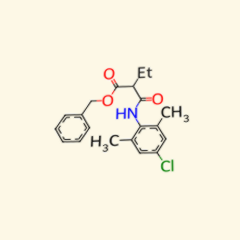 CCC(C(=O)Nc1c(C)cc(Cl)cc1C)C(=O)OCc1ccccc1